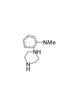 C1CNCCN1.CNc1ccccc1